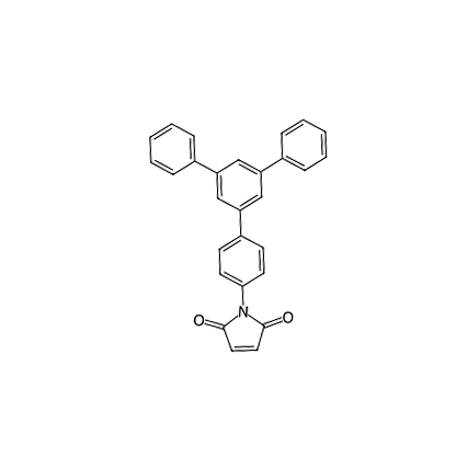 O=C1C=CC(=O)N1c1ccc(-c2cc(-c3ccccc3)cc(-c3ccccc3)c2)cc1